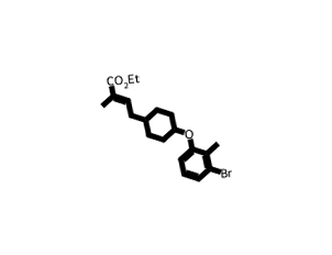 CCOC(=O)/C(C)=C/CC1CCC(Oc2cccc(Br)c2C)CC1